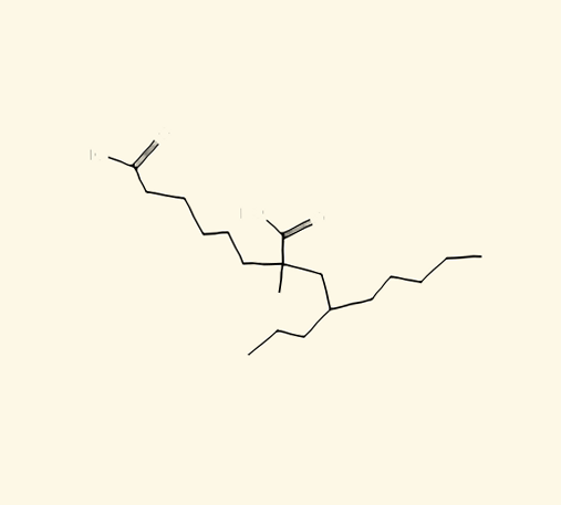 CCCCCC(CCC)CC(I)(CCCCCC(=O)O)C(=O)O